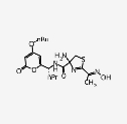 CCCCOc1cc([C@@H](CCC)NC(=O)[C@]2(N)CSC(/C(C)=N/O)=N2)oc(=O)c1